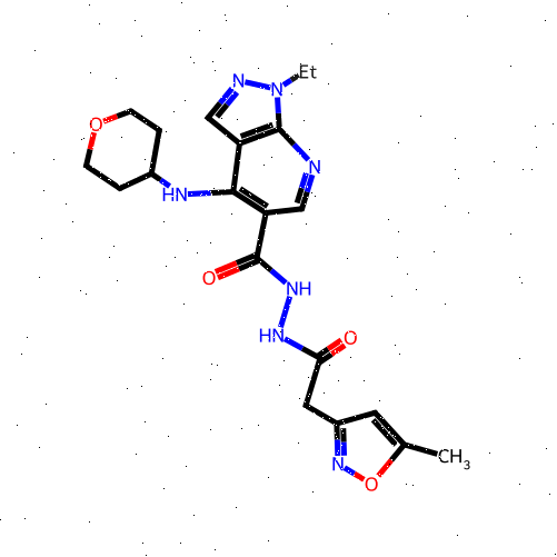 CCn1ncc2c(NC3CCOCC3)c(C(=O)NNC(=O)Cc3cc(C)on3)cnc21